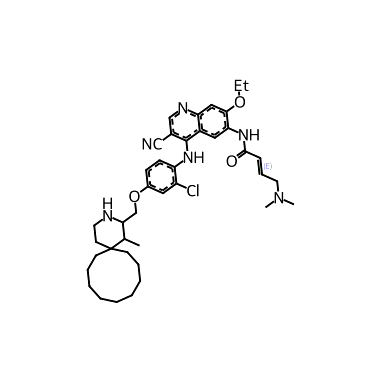 CCOc1cc2ncc(C#N)c(Nc3ccc(OCC4NCCC5(CCCCCCCCC5)C4C)cc3Cl)c2cc1NC(=O)/C=C/CN(C)C